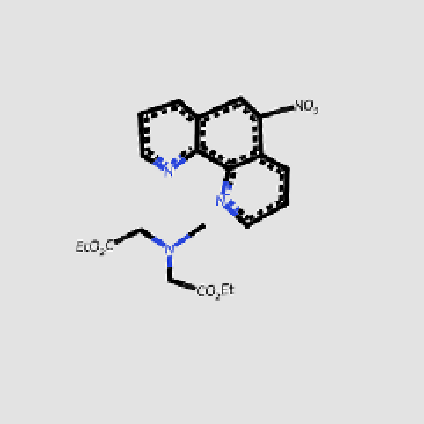 CCOC(=O)CN(C)CC(=O)OCC.O=[N+]([O-])c1cc2cccnc2c2ncccc12